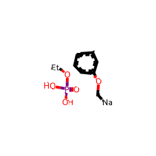 CCOP(=O)(O)O.[Na][CH2]Oc1ccccc1